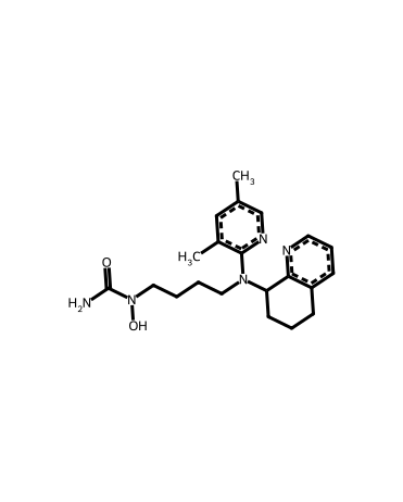 Cc1cnc(N(CCCCN(O)C(N)=O)C2CCCc3cccnc32)c(C)c1